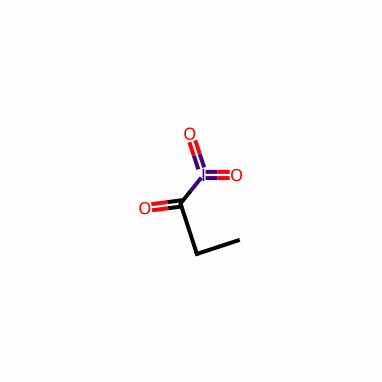 CCC(=O)I(=O)=O